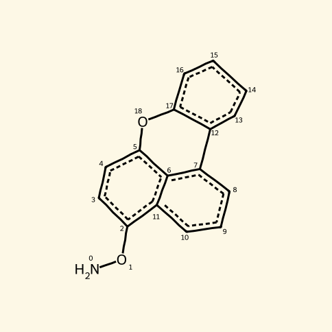 NOc1ccc2c3c(cccc13)-c1ccccc1O2